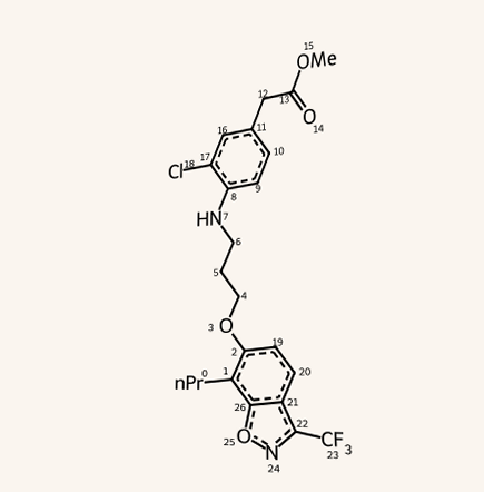 CCCc1c(OCCCNc2ccc(CC(=O)OC)cc2Cl)ccc2c(C(F)(F)F)noc12